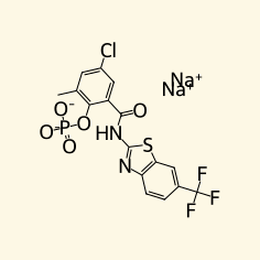 Cc1cc(Cl)cc(C(=O)Nc2nc3ccc(C(F)(F)F)cc3s2)c1OP(=O)([O-])[O-].[Na+].[Na+]